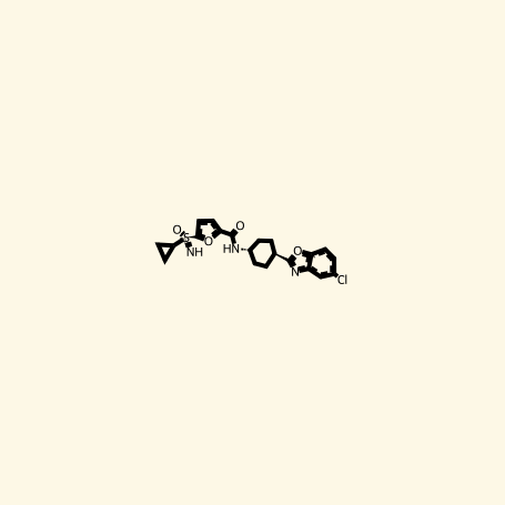 N=[S@](=O)(c1ccc(C(=O)N[C@H]2CC[C@H](c3nc4cc(Cl)ccc4o3)CC2)o1)C1CC1